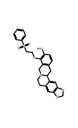 COc1ccc2c(c1OCCS(=O)(=O)c1ccccc1)CN1CCc3cc4c(cc3C1C2)OCO4